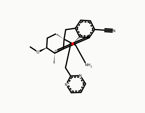 CO[C@H]1CC[C@@]2(Cc3ccc(C#N)cc3[C@]23N=C(N)N(Cc2ncccn2)C3=O)C[C@@H]1C